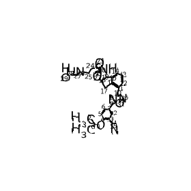 CC(C)Oc1ccc(-c2nc(-c3cccc4c3CC[C@H]4NS(=O)(=O)CCNCCO)no2)cc1C#N